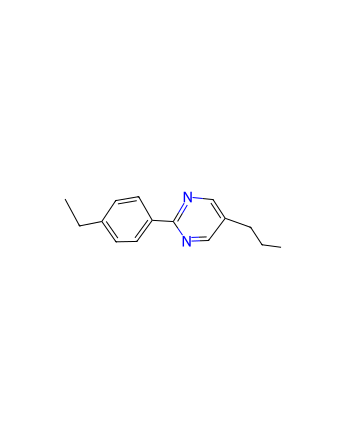 CCCc1cnc(-c2ccc(CC)cc2)nc1